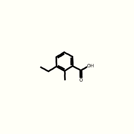 CCc1cccc(C(=O)O)c1C